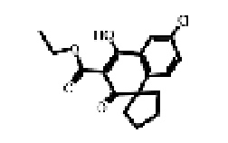 CCOC(=O)C1=C(O)c2cc(Cl)ccc2C2(CCCC2)C1=O